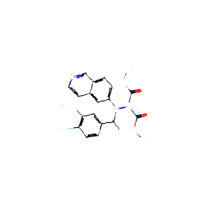 COc1cc(C(C(=O)O)N(c2ccc3cnccc3c2)N(C(=O)OC(C)(C)C)C(=O)OC(C)(C)C)ccc1F